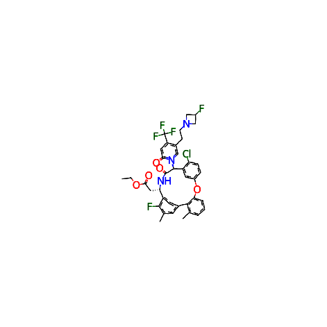 CCOC(=O)C[C@@H]1NC(=O)[C@@H](n2cc(CCN3CC(F)C3)c(C(F)(F)F)cc2=O)c2cc(ccc2Cl)Oc2cccc(C)c2-c2cc(C)c(F)c1c2